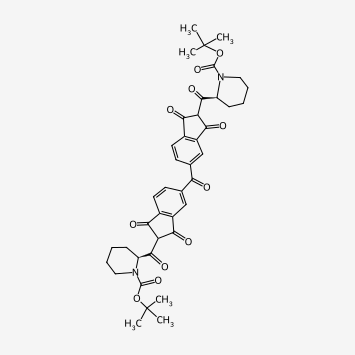 CC(C)(C)OC(=O)N1CCCC[C@H]1C(=O)C1C(=O)c2ccc(C(=O)c3ccc4c(c3)C(=O)C(C(=O)[C@@H]3CCCCN3C(=O)OC(C)(C)C)C4=O)cc2C1=O